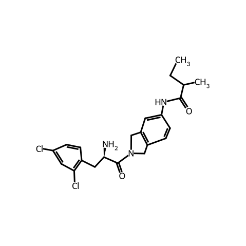 CCC(C)C(=O)Nc1ccc2c(c1)CN(C(=O)[C@H](N)Cc1ccc(Cl)cc1Cl)C2